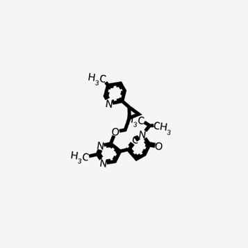 Cc1ccc(C2CC2COc2nc(C)ncc2-c2ccc(=O)n(C(C)C)c2)nc1